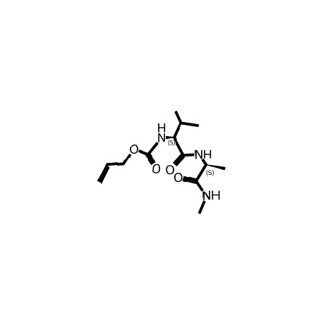 C=CCOC(=O)N[C@H](C(=O)N[C@@H](C)C(=O)NC)C(C)C